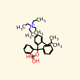 CC(C)Cc1ccccc1C(OB(O)O)(c1ccccc1)c1ccccc1.CC[N+](CC)(CC)CC